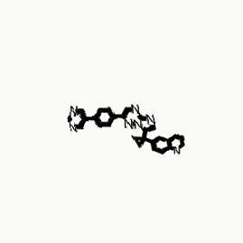 c1cnc2ccc(C3(c4cnc5ncc(-c6ccc(-c7cncnc7)cc6)nn45)CC3)cc2c1